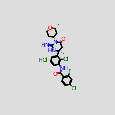 C[C@@H]1C[C@H](N2C(=N)N[C@](C)(c3cccc(NC(=O)c4ccc(Cl)cc4F)c3Cl)CC2=O)CCO1.Cl